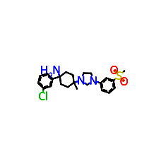 CC1(N2CCN(c3cccc(S(C)(=O)=O)c3)C2)CCC(N)(c2cccc(Cl)c2)CC1